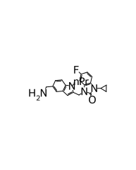 CCCn1c(Cn2c(=O)n(C3CC3)c3ccc(F)cc32)cc2cc(CN)ccc21